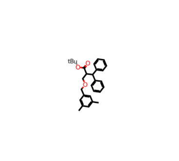 Cc1cc(C)cc(COCC(C(=O)OC(C)(C)C)C(c2ccccc2)c2ccccc2)c1